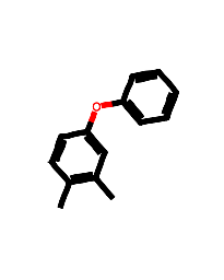 Cc1[c]cc(Oc2ccccc2)cc1C